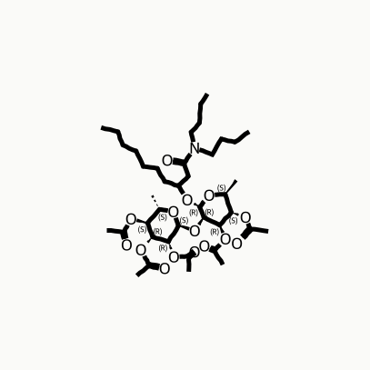 CCCCCCCC(CC(=O)N(CCCC)CCCC)O[C@@H]1O[C@@H](C)[C@H](OC(C)=O)[C@@H](OC(C)=O)[C@H]1O[C@@H]1O[C@@H](C)[C@H](OC(C)=O)[C@@H](OC(C)=O)[C@H]1OC(C)=O